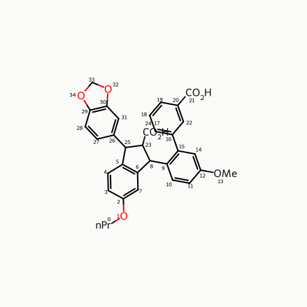 CCCOc1ccc2c(c1)C(c1ccc(OC)cc1-c1cccc(C(=O)O)c1)C(C(=O)O)C2c1ccc2c(c1)OCO2